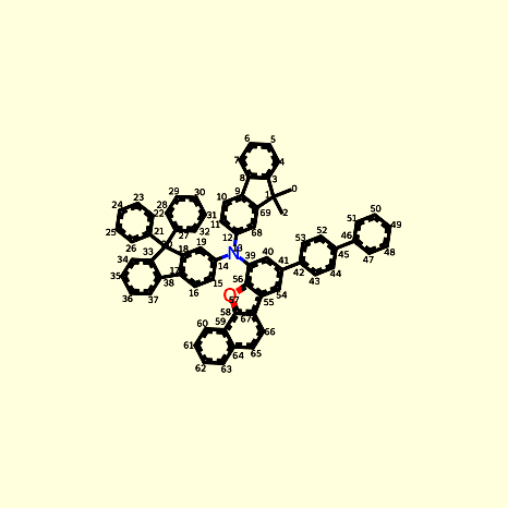 CC1(C)c2ccccc2-c2ccc(N(c3ccc4c(c3)C(c3ccccc3)(c3ccccc3)c3ccccc3-4)c3cc(-c4ccc(-c5ccccc5)cc4)cc4c3oc3c5ccccc5ccc43)cc21